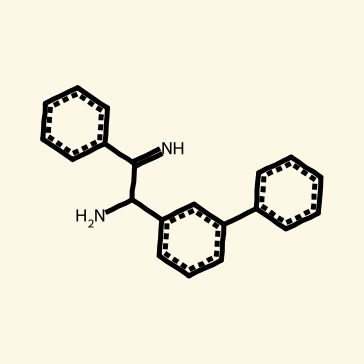 N=C(c1ccccc1)C(N)c1cccc(-c2ccccc2)c1